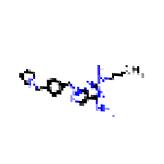 CCCCNc1nc(N)c2cnn(Cc3ccc(CN4CCCC4)cc3)c2n1